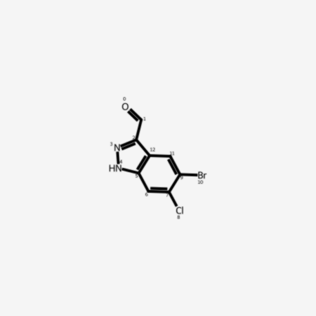 O=Cc1n[nH]c2cc(Cl)c(Br)cc12